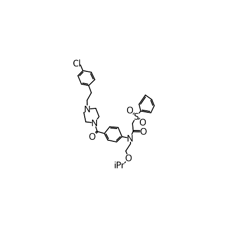 CC(C)OCCN(C(=O)CS(=O)(=O)c1ccccc1)c1ccc(C(=O)N2CCN(CCc3ccc(Cl)cc3)CC2)cc1